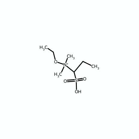 CCO[N+](C)(C)C(CC)S(=O)(=O)O